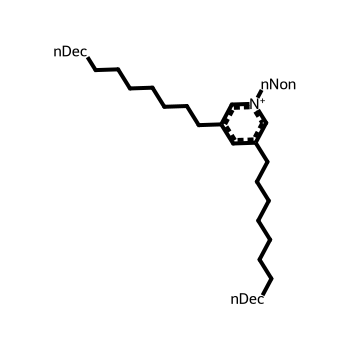 CCCCCCCCCCCCCCCCCc1cc(CCCCCCCCCCCCCCCCC)c[n+](CCCCCCCCC)c1